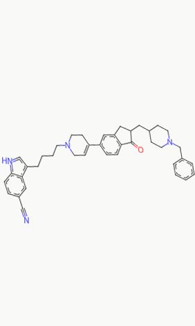 N#Cc1ccc2[nH]cc(CCCCN3CC=C(c4ccc5c(c4)CC(CC4CCN(Cc6ccccc6)CC4)C5=O)CC3)c2c1